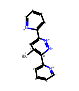 CCC(C)c1cc(-c2ccccn2)nnc1-c1ccccn1